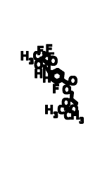 CC1(C)OCC(COC(=O)c2ccc(NC(=O)C(C)(O)C(F)(F)F)cc2F)O1